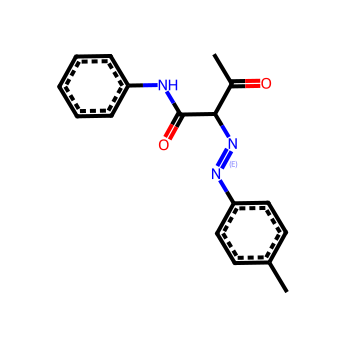 CC(=O)C(/N=N/c1ccc(C)cc1)C(=O)Nc1ccccc1